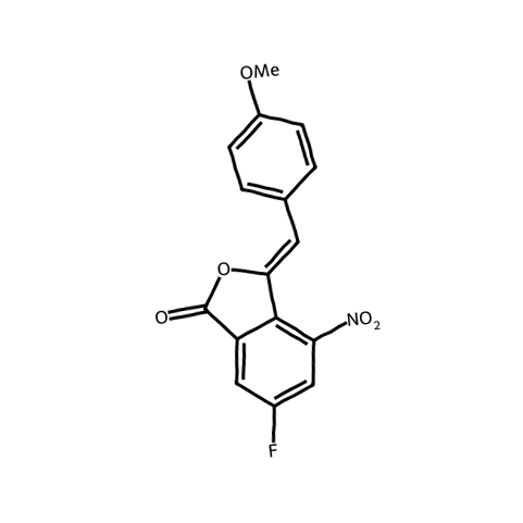 COc1ccc(/C=C2\OC(=O)c3cc(F)cc([N+](=O)[O-])c32)cc1